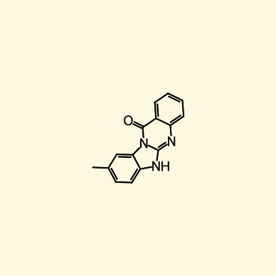 Cc1ccc2[nH]c3nc4ccccc4c(=O)n3c2c1